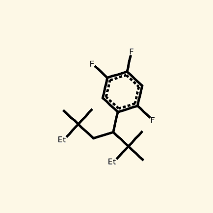 CCC(C)(C)CC(c1cc(F)c(F)cc1F)C(C)(C)CC